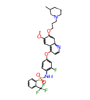 COc1cc2c(Oc3ccc(NS(=O)(=O)c4ccccc4C(F)(F)F)c(F)c3)ccnc2cc1OCCCN1CCCC(C)C1